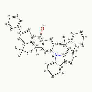 CC(C)(C)c1cc(-c2ccccc2)cc2c1C(C)(C)c1cc(-n3c4ccccc4c4ccc5c(c43)C(C)(C)c3ccccc3-5)ccc1C2=O